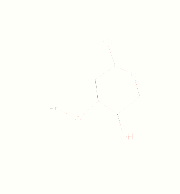 CCOC1CC(O)OCC1O